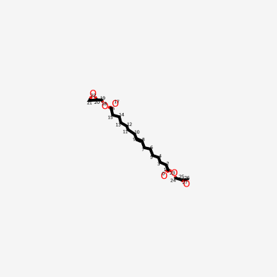 O=C(CCCCCCC=CCCCCCCC(=O)OCC1CO1)OCC1CO1